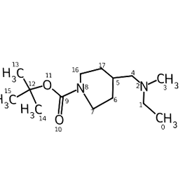 CCN(C)CC1CCN(C(=O)OC(C)(C)C)CC1